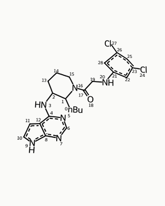 CCCCC1C(Nc2ncnc3[nH]ccc23)CCCN1C(=O)CNc1cc(Cl)cc(Cl)c1